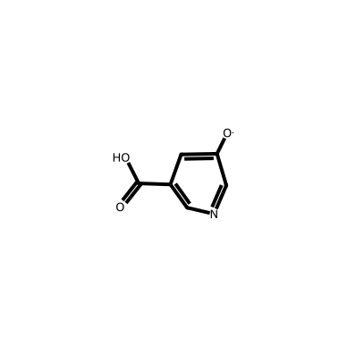 [O]c1cncc(C(=O)O)c1